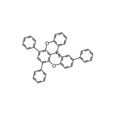 S=P12c3ccccc3Oc3c(-c4ccccc4)cc(-c4ccccc4)c(c31)Oc1ccc(-c3ccccc3)cc12